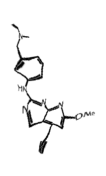 C#Cc1cc(OC)nc2nc(Nc3cccc(CN(C)C)c3)ncc12